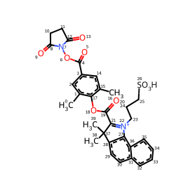 Cc1cc(C(=O)ON2C(=O)CCC2=O)cc(C)c1OC(=O)C1=[N+](CCCS(=O)(=O)O)c2c(ccc3ccccc23)C1(C)C